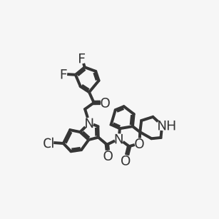 O=C(Cn1cc(C(=O)N2C(=O)OC3(CCNCC3)c3ccccc32)c2ccc(Cl)cc21)c1ccc(F)c(F)c1